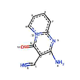 N=Cc1c(N)nc2ccccn2c1=O